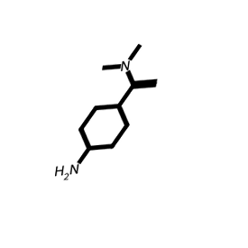 C=C(C1CCC(N)CC1)N(C)C